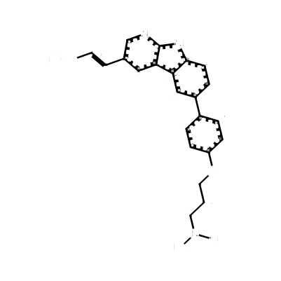 CCCCC/C=C/c1cnc2[nH]c3ccc(-c4ccc(OCCCN(CC)CC)cc4)cc3c2c1